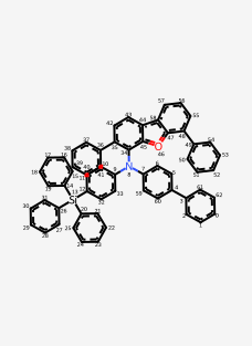 c1ccc(-c2ccc(N(c3ccc([Si](c4ccccc4)(c4ccccc4)c4ccccc4)cc3)c3c(-c4ccccc4)ccc4c3oc3c(-c5ccccc5)cccc34)cc2)cc1